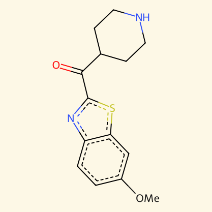 COc1ccc2nc(C(=O)C3CCNCC3)sc2c1